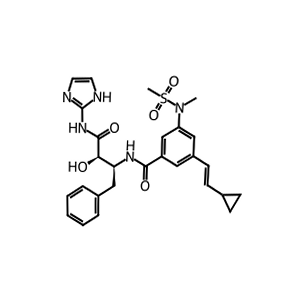 CN(c1cc(C=CC2CC2)cc(C(=O)N[C@@H](Cc2ccccc2)[C@@H](O)C(=O)Nc2ncc[nH]2)c1)S(C)(=O)=O